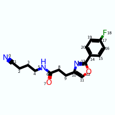 N#CCCCNC(=O)CCc1coc(-c2ccc(F)cc2)n1